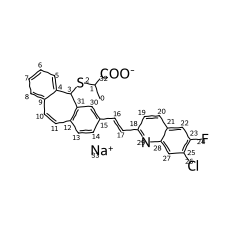 CC(SC1c2ccccc2C=Cc2ccc(/C=C/c3ccc4cc(F)c(Cl)cc4n3)cc21)C(=O)[O-].[Na+]